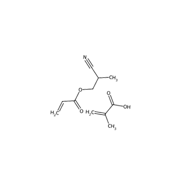 C=C(C)C(=O)O.C=CC(=O)OCC(C)C#N